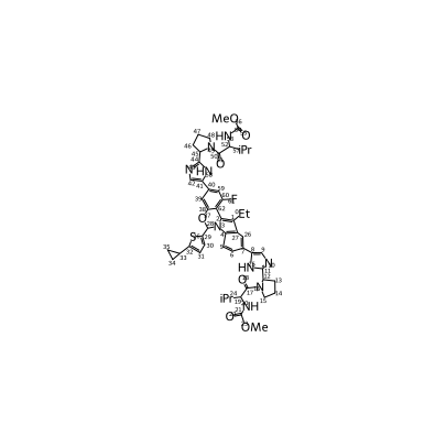 CCc1c2n(c3ccc(-c4cnc(C5CCCN5C(=O)C(NC(=O)OC)C(C)C)[nH]4)cc13)C(c1ccc(C3CC3)s1)Oc1cc(-c3cnc(C4CCCN4C(=O)C(NC(=O)OC)C(C)C)[nH]3)cc(F)c1-2